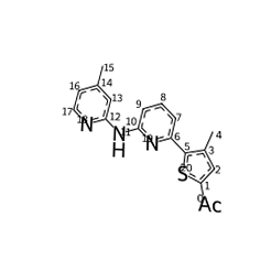 CC(=O)c1cc(C)c(-c2cccc(Nc3cc(C)ccn3)n2)s1